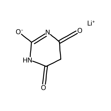 O=C1CC(=O)NC([O-])=N1.[Li+]